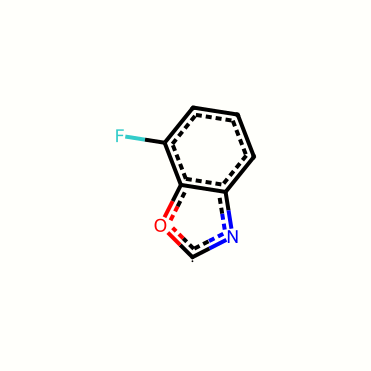 Fc1cccc2n[c]oc12